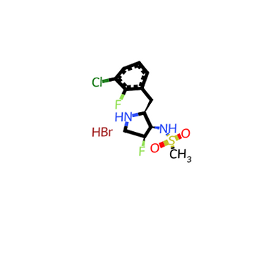 Br.CS(=O)(=O)N[C@@H]1[C@H](Cc2cccc(Cl)c2F)NC[C@@H]1F